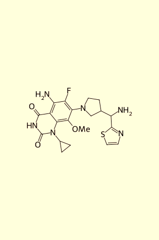 COc1c(N2CCC(C(N)c3nccs3)C2)c(F)c(N)c2c(=O)[nH]c(=O)n(C3CC3)c12